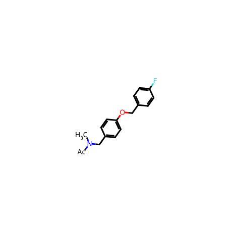 CC(=O)N(C)Cc1ccc(OCc2ccc(F)cc2)cc1